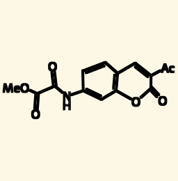 COC(=O)C(=O)Nc1ccc2cc(C(C)=O)c(=O)oc2c1